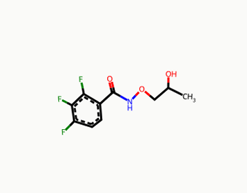 CC(O)CONC(=O)c1ccc(F)c(F)c1F